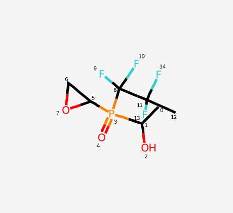 CC(O)P(=O)(C1CO1)C(F)(F)C(C)(F)F